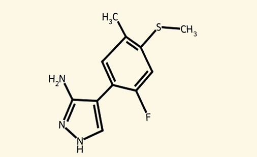 CSc1cc(F)c(-c2c[nH]nc2N)cc1C